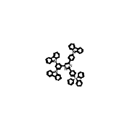 c1ccc([Si](c2ccccc2)(c2ccccc2)c2ccc(-c3nc(-c4ccc(-n5c6ccccc6c6ccccc65)cc4)cc(-c4cc(-n5c6ccccc6c6ccccc65)cc(-n5c6ccccc6c6ccccc65)c4)n3)cc2)cc1